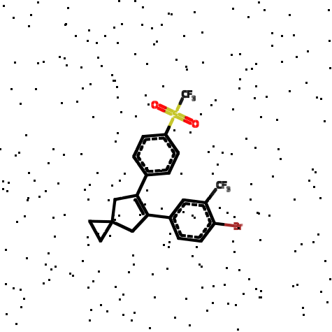 O=S(=O)(c1ccc(C2=C(c3ccc(Br)c(C(F)(F)F)c3)CC3(CC3)C2)cc1)C(F)(F)F